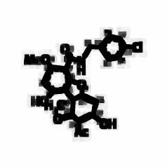 COc1cc(O)c2c(c1C(=O)NCc1ccc(Cl)cc1)OC1=CC(O)=C(C(C)=O)C(=O)[C@]12C